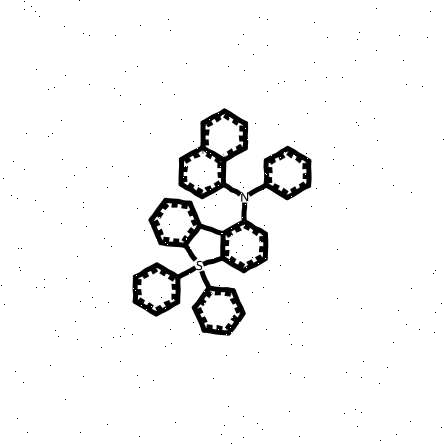 c1ccc(N(c2cccc3c2-c2ccccc2S3(c2ccccc2)c2ccccc2)c2cccc3ccccc23)cc1